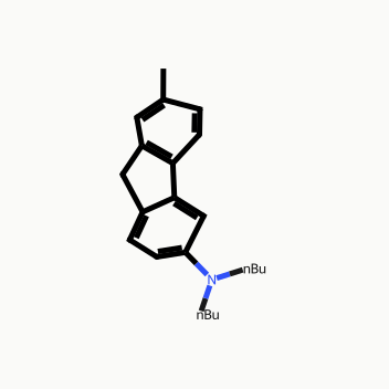 CCCCN(CCCC)c1ccc2c(c1)-c1ccc(C)cc1C2